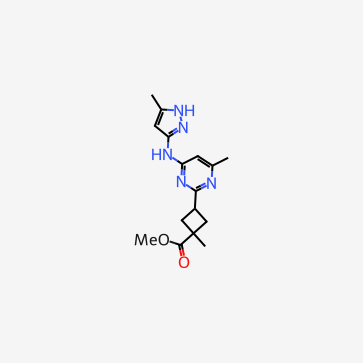 COC(=O)C1(C)CC(c2nc(C)cc(Nc3cc(C)[nH]n3)n2)C1